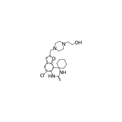 C=C1Nc2c(Cl)cc3cc(CN4CCN(CCO)CC4)oc3c2C2(CCCCC2)N1